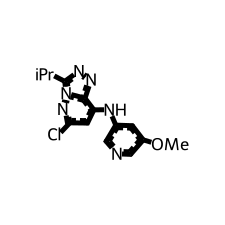 COc1cncc(Nc2cc(Cl)nn3c(C(C)C)nnc23)c1